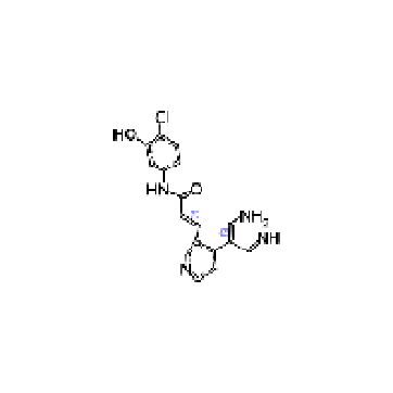 N=C/C(=C\N)c1ccncc1/C=C/C(=O)Nc1ccc(Cl)c(O)c1